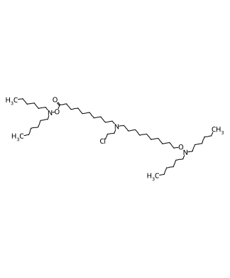 CCCCCCN(CCCCCC)OCCCCCCCCCCN(CCCl)CCCCCCCCCC(=O)ON(CCCCCC)CCCCCC